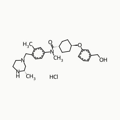 Cc1cc(N(C)C(=O)[C@H]2CC[C@H](Oc3cccc(CO)c3)CC2)ccc1CN1CCN[C@@H](C)C1.Cl